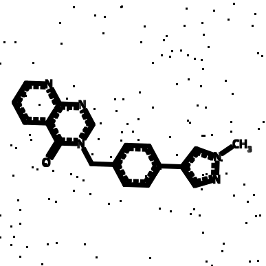 Cn1cc(-c2ccc(Cn3cnc4ncccc4c3=O)cc2)cn1